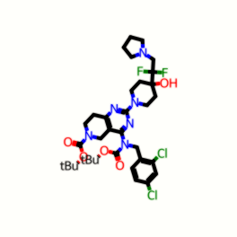 CC(C)(C)OC(=O)N1CCc2nc(N3CCC(O)(C(F)(F)CN4CCCC4)CC3)nc(N(Cc3ccc(Cl)cc3Cl)C(=O)OC(C)(C)C)c2C1